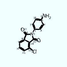 Nc1ccc(N2C(=O)c3cccc(Cl)c3C2=O)cc1